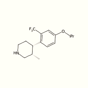 CC(C)Oc1ccc([C@H]2CCNC[C@H]2C)c(C(F)(F)F)c1